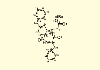 CC(C)(C)OC(=O)CCN1C(=O)C(Cc2ccccc2)NC(=O)C12CCN(Cc1ccccc1)CC2